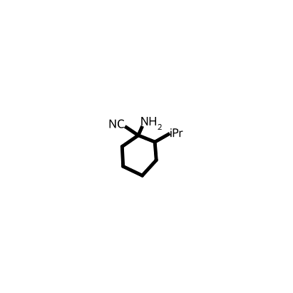 CC(C)C1CCCCC1(N)C#N